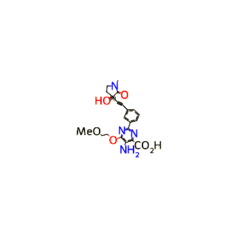 COCCOc1nc(-c2cccc(C#C[C@]3(O)CCN(C)C3=O)c2)nc(C(=O)O)c1N